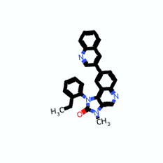 CCc1ccccc1-n1c(=O)n(C)c2cnc3ccc(-c4cnc5ccccc5c4)cc3c21